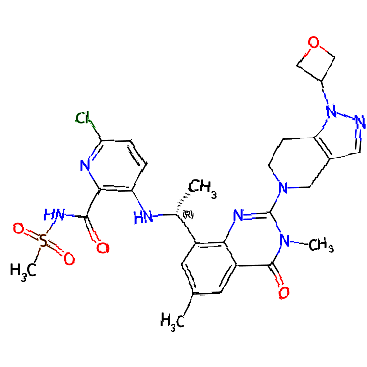 Cc1cc([C@@H](C)Nc2ccc(Cl)nc2C(=O)NS(C)(=O)=O)c2nc(N3CCc4c(cnn4C4COC4)C3)n(C)c(=O)c2c1